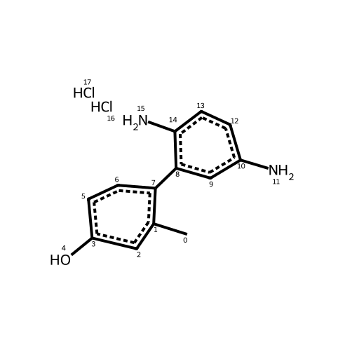 Cc1cc(O)ccc1-c1cc(N)ccc1N.Cl.Cl